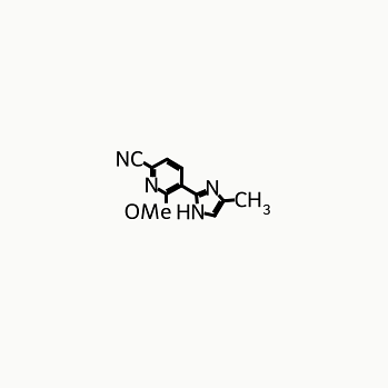 COc1nc(C#N)ccc1-c1nc(C)c[nH]1